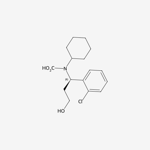 O=C(O)N(C1CCCCC1)[C@H](CCO)c1ccccc1Cl